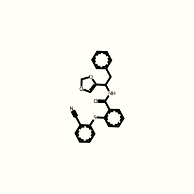 N#Cc1ccccc1Sc1ccccc1C(=O)NC(Cc1ccccc1)C1=COCO1